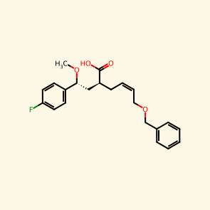 CO[C@H](C[C@H](C/C=C\COCc1ccccc1)C(=O)O)c1ccc(F)cc1